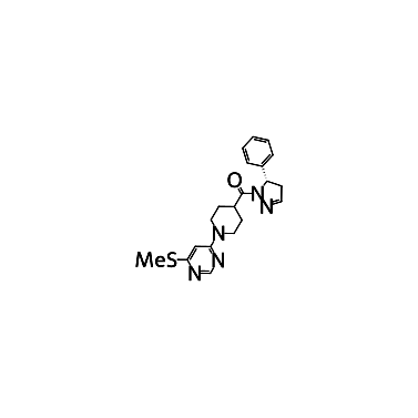 CSc1cc(N2CCC(C(=O)N3N=CC[C@H]3c3ccccc3)CC2)ncn1